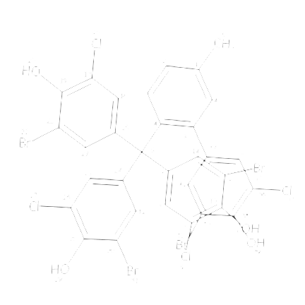 Cc1ccc(C(c2cc(Cl)c(O)c(Br)c2)(c2cc(Cl)c(O)c(Br)c2)c2cc(Cl)c(O)c(Br)c2)c(-c2cc(Cl)c(O)c(Br)c2)c1